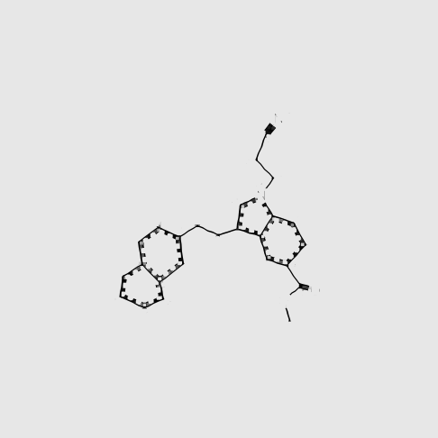 COC(=O)c1ccc2c(c1)c(CCc1ccc3ccccc3c1)cn2CCC#N